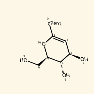 CCCCCC1=C[C@@H](O)[C@H](O)[C@@H](CO)O1